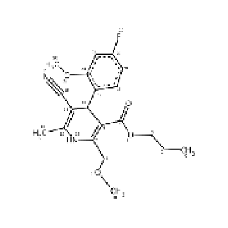 CCCOC(=O)C1=C(COC)NC(C)=C(C#N)C1c1ccc(F)cc1OC